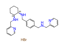 Br.c1ccc(CNCc2ccc(CN[C@@H]3CCCC[C@@H]3NCc3ccccn3)cc2)nc1